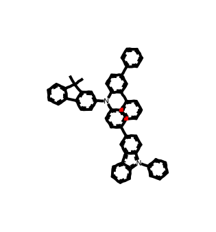 CC1(C)c2ccccc2-c2ccc(N(c3ccc(-c4ccc5c(c4)c4ccccc4n5-c4ccccc4)cc3)c3ccc(-c4ccccc4)cc3-c3ccccc3)cc21